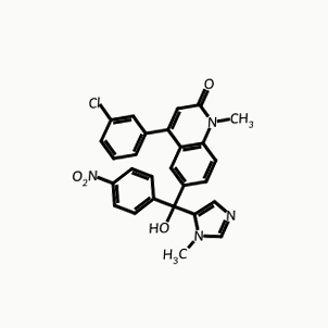 Cn1cncc1C(O)(c1ccc([N+](=O)[O-])cc1)c1ccc2c(c1)c(-c1cccc(Cl)c1)cc(=O)n2C